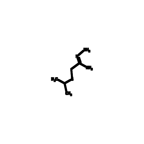 CC(C)SC/C(N)=N/N